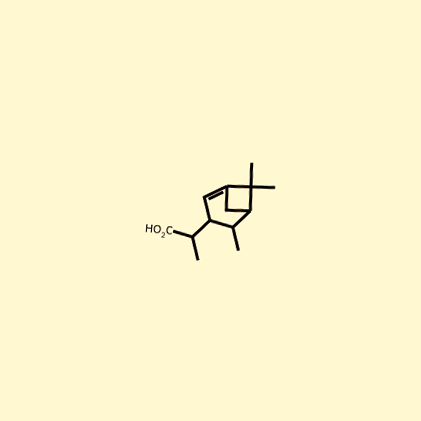 CC(C(=O)O)C1C=C2CC(C1C)C2(C)C